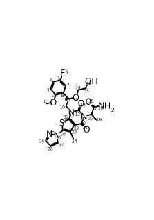 COc1ccc(F)cc1[C@H](Cn1c(=O)n(C(C)C(N)=O)c(=O)c2c(C)c(-n3cccn3)sc21)OCCO